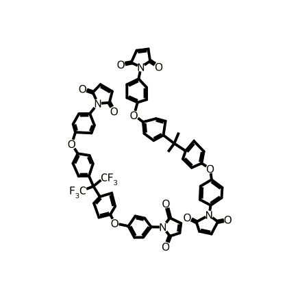 CC(C)(c1ccc(Oc2ccc(N3C(=O)C=CC3=O)cc2)cc1)c1ccc(Oc2ccc(N3C(=O)C=CC3=O)cc2)cc1.O=C1C=CC(=O)N1c1ccc(Oc2ccc(C(c3ccc(Oc4ccc(N5C(=O)C=CC5=O)cc4)cc3)(C(F)(F)F)C(F)(F)F)cc2)cc1